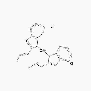 CC=CC1=Cc2ccccc2[CH]1[Zr+2][CH]1C(C=CC)=Cc2ccccc21.[Cl-].[Cl-]